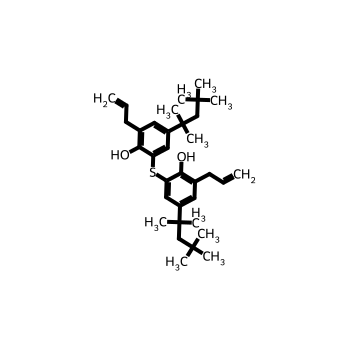 C=CCc1cc(C(C)(C)CC(C)(C)C)cc(Sc2cc(C(C)(C)CC(C)(C)C)cc(CC=C)c2O)c1O